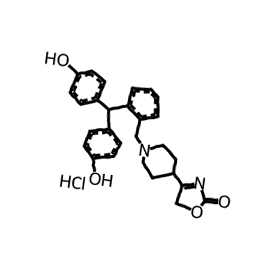 Cl.O=C1N=C(C2CCN(Cc3ccccc3C(c3ccc(O)cc3)c3ccc(O)cc3)CC2)CO1